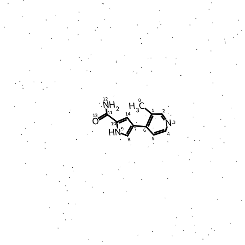 Cc1cnccc1-c1c[nH]c(C(N)=O)c1